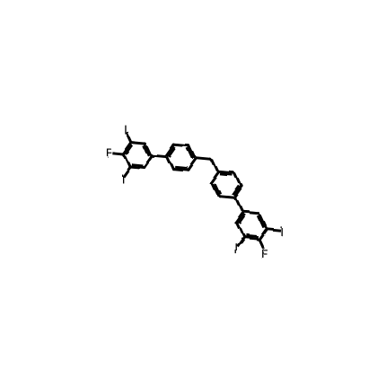 Fc1c(I)cc(-c2ccc(Cc3ccc(-c4cc(I)c(F)c(I)c4)cc3)cc2)cc1I